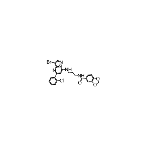 O=C(NCCCNc1cc(-c2ccccc2Cl)nc2c(Br)cnn12)c1ccc2c(c1)OCO2